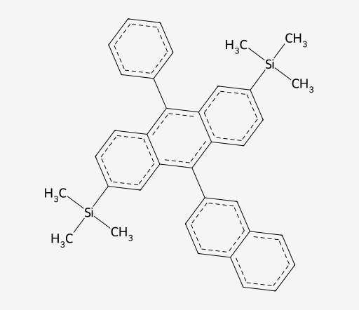 C[Si](C)(C)c1ccc2c(-c3ccc4ccccc4c3)c3cc([Si](C)(C)C)ccc3c(-c3ccccc3)c2c1